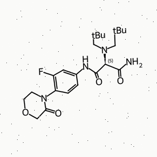 CC(C)(C)CN(CC(C)(C)C)[C@@H](C(N)=O)C(=O)Nc1ccc(N2CCOCC2=O)c(F)c1